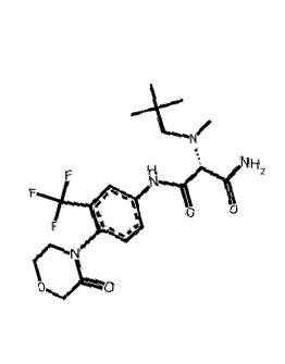 CN(CC(C)(C)C)[C@H](C(N)=O)C(=O)Nc1ccc(N2CCOCC2=O)c(C(F)(F)F)c1